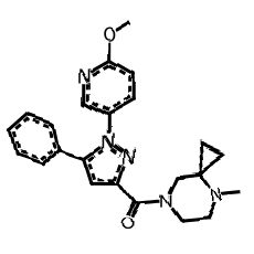 COc1ccc(-n2nc(C(=O)N3CCN(C)C4(CC4)C3)cc2-c2ccccc2)cn1